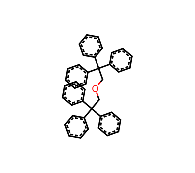 c1ccc(C(COCC(c2ccccc2)(c2ccccc2)c2ccccc2)(c2ccccc2)c2ccccc2)cc1